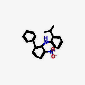 CC(C)c1ccccc1Nc1c(-c2ccccc2)cccc1[N+](=O)[O-]